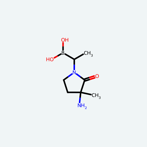 CC(B(O)O)N1CCC(C)(N)C1=O